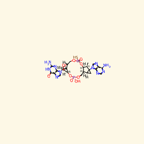 CO[C@H]1[C@H]2OP(=O)(O)OC[C@@H]3[C@@H](O[P@](=O)(S)OC[C@H]1O[C@H]2n1cnc2c(=O)[nH]c(N)nc21)[C@@H](C)C1(n2cnc4c(N)ncnc42)C[C@@H]31